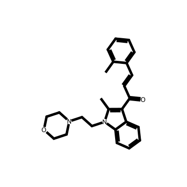 Cc1ccccc1/C=C/C(=O)c1c(C)n(CCN2CCOCC2)c2ccccc12